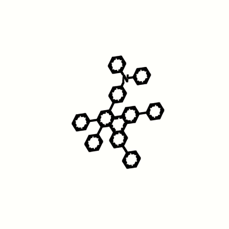 c1ccc(-c2ccc3c(c2)c2cc(-c4ccccc4)ccc2c2c(-c4ccccc4)c(-c4ccccc4)cc(-c4ccc(N(c5ccccc5)c5ccccc5)cc4)c32)cc1